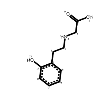 O=C(O)CNCCc1ccccc1O